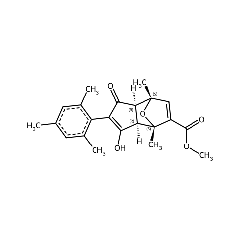 COC(=O)C1=C[C@]2(C)O[C@@]1(C)[C@H]1C(O)=C(c3c(C)cc(C)cc3C)C(=O)[C@H]12